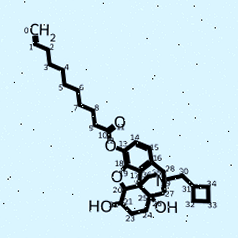 C=CCCCCCCCCC(=O)Oc1ccc2c3c1OC1C(O)CCC4(O)C(C2)N(CC2CCC2)CCC314